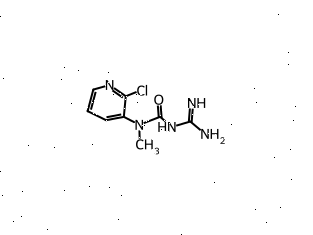 CN(C(=O)NC(=N)N)c1cccnc1Cl